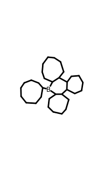 C1CCCCC(B2C3CCCCCCCC3C3CCCCCC3C3CCCCCCC23)CCC1